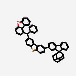 c1ccc(C(c2ccc3sc4ccc(-c5ccc6c(c5)C5(c7ccccc7-6)C6CC7CC(C6)CC5C7)cc4c3c2)c2cccc3oc4ccccc4c23)cc1